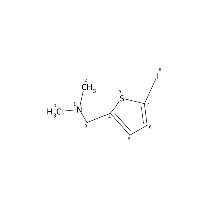 CN(C)Cc1ccc(I)s1